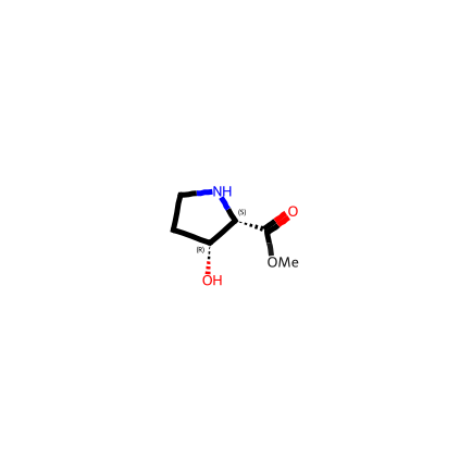 COC(=O)[C@H]1NCC[C@H]1O